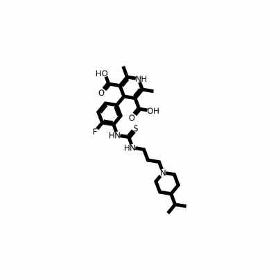 CC1=C(C(=O)O)C(c2ccc(F)c(NC(=S)NCCCN3CCC(C(C)C)CC3)c2)C(C(=O)O)=C(C)N1